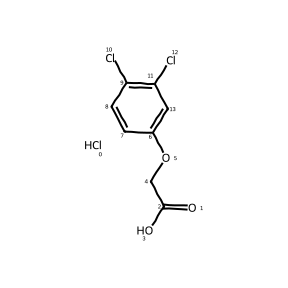 Cl.O=C(O)COc1ccc(Cl)c(Cl)c1